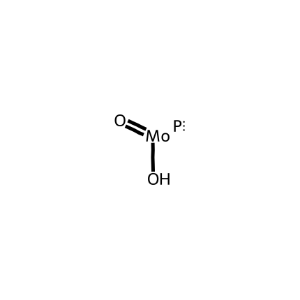 [O]=[Mo][OH].[P]